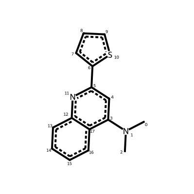 CN(C)c1cc(-c2cccs2)nc2ccccc12